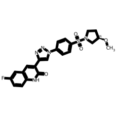 CO[C@@H]1CCN(S(=O)(=O)c2ccc(-n3cc(-c4cc5cc(F)ccc5[nH]c4=O)nn3)cc2)C1